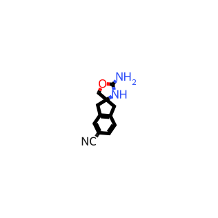 N#Cc1ccc2c(c1)CC1(COC(N)N1)C2